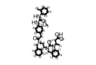 COc1cc(CC(=O)N(CCN(Cc2ccccc2)C(=O)NC(C)CC(=O)O)Cc2ccccc2)ccc1NC(=O)Nc1ccccc1C